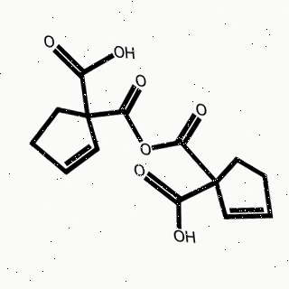 O=C(O)C1(C(=O)OC(=O)C2(C(=O)O)C=CCC2)C=CCC1